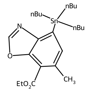 CCC[CH2][Sn]([CH2]CCC)([CH2]CCC)[c]1cc(C)c(C(=O)OCC)c2ocnc12